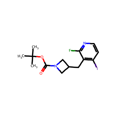 CC(C)(C)OC(=O)N1CC(Cc2c(I)ccnc2F)C1